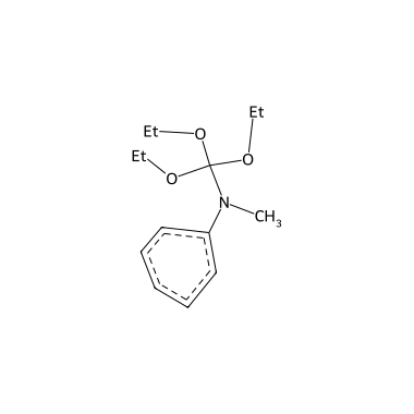 CCOC(OCC)(OCC)N(C)c1ccccc1